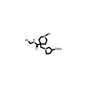 COC1CCN(CC2(C(=O)NCC(C)C)CCN(C(C)C)CC2)C1